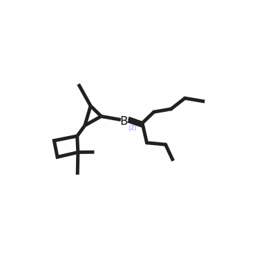 CCCC/C(=B\C1C(C)C1C1CCC1(C)C)CCC